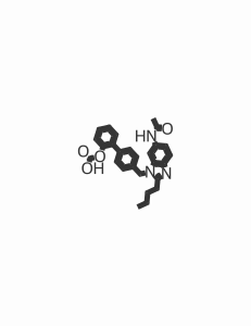 CCCCc1nc2ccc(NC(C)=O)cc2n1Cc1ccc(-c2ccccc2OC(=O)O)cc1